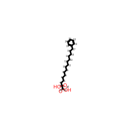 COC(O)(CCCCCCCCCCCCCCc1ccccc1)C(=O)O